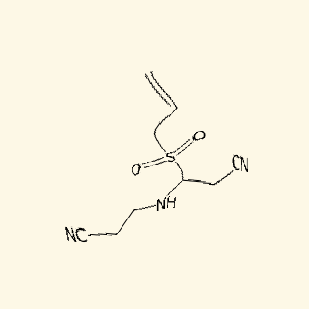 C=CCS(=O)(=O)C(CC#N)NCCC#N